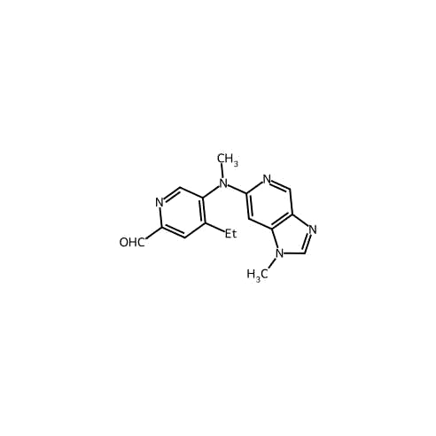 CCc1cc(C=O)ncc1N(C)c1cc2c(cn1)ncn2C